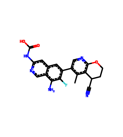 Cc1c(-c2cc3cc(NC(=O)O)ncc3c(N)c2F)cnc2c1C(C#N)CCO2